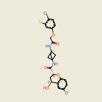 O=C(COc1ccc(Cl)c(F)c1)NC12CC(NC(=O)[C@H]3C[C@H](O)c4cc(Cl)ccc4O3)(C1)C2